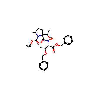 CC1CCC(C(=O)N[C@H](C(=O)OCc2ccccc2)[C@@H](C)OCc2ccccc2)(C(C)O)N1C(=O)OC(C)(C)C